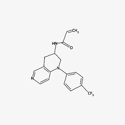 C=CC(=O)NC1Cc2cnccc2N(c2ccc(C(F)(F)F)cc2)C1